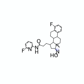 C[C@]12CCC3c4cccc(F)c4CCC3C1C(CCC(=O)Nc1cccc(F)n1)C/C2=N\O